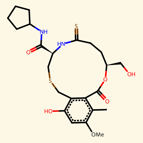 COc1cc(O)c2c(c1C)C(=O)O[C@H](CO)CCC(=S)N[C@H](C(=O)NC1CCCC1)CSC2